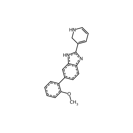 COc1ccccc1-c1ccc2nc(C3=CC=CNC3)[nH]c2c1